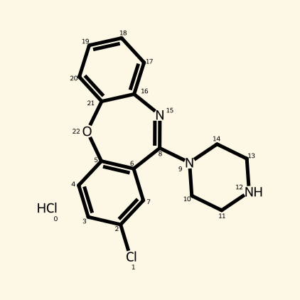 Cl.Clc1ccc2c(c1)C(N1CCNCC1)=Nc1ccccc1O2